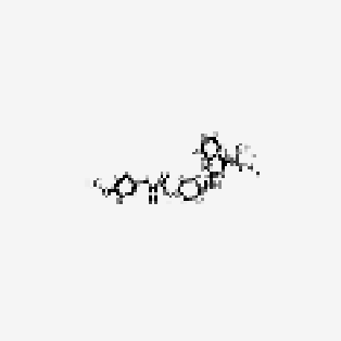 COc1ccc(CNC(=O)NC2CCC(Nc3nc(N(C)C)c4ccccc4n3)CC2)cc1